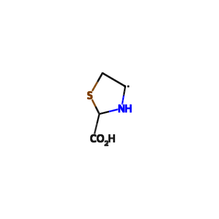 O=C(O)C1N[CH]CS1